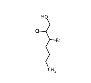 CCCCC(Br)C(Cl)CO